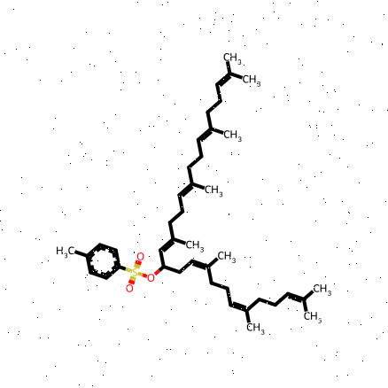 CC(C)=CCCC(C)=CCCC(C)=CCC(/C=C(\C)CC/C=C(\C)CC/C=C(\C)CCC=C(C)C)OS(=O)(=O)c1ccc(C)cc1